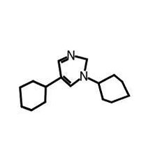 C1=NCN(C2CCCCC2)C=C1C1CCCCC1